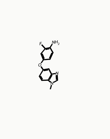 Cn1cnc2cc(Oc3ccc(N)c(F)c3)ccc21